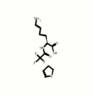 C1CCOC1.NCCCC[C@H](NC(=O)C(F)(F)F)C(=O)O